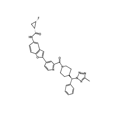 Cc1nnn([C@@H](c2ccccc2)C2CCN(C(=O)c3cc(-c4cc5cc(NC(=O)[C@@H]6C[C@@H]6F)ccc5o4)ccn3)CC2)n1